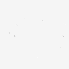 CCC(=O)c1cnc(Nc2ccc([C@H](C)N3CCOCC3)cn2)cc1Nc1cccc(-c2ncn(C)n2)c1OC